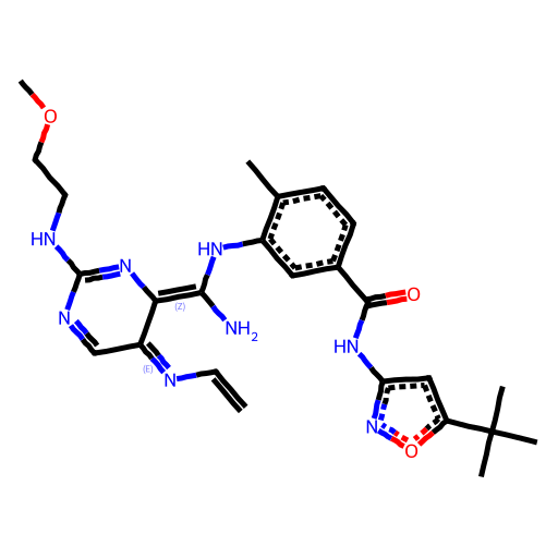 C=C/N=C1/C=NC(NCCOC)=N/C1=C(/N)Nc1cc(C(=O)Nc2cc(C(C)(C)C)on2)ccc1C